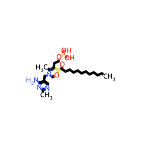 CCCCCCCCCCCC(=O)S/C(CCOP(O)O)=C(/C)N(C=O)Cc1cnc(C)nc1N